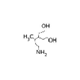 CC(CCN)C(CCO)CCO